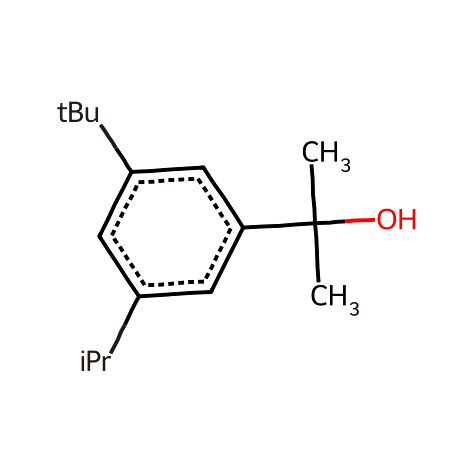 CC(C)c1cc(C(C)(C)C)cc(C(C)(C)O)c1